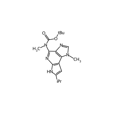 CC(C)c1cc2c(nc(N(C)C(=O)OC(C)(C)C)c3ncn(C)c32)[nH]1